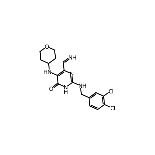 N=Cc1nc(NCc2ccc(Cl)c(Cl)c2)[nH]c(=O)c1NC1CCOCC1